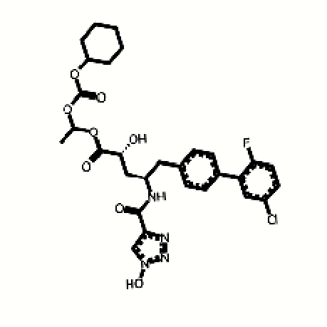 CC(OC(=O)OC1CCCCC1)OC(=O)[C@H](O)C[C@@H](Cc1ccc(-c2cc(Cl)ccc2F)cc1)NC(=O)c1cn(O)nn1